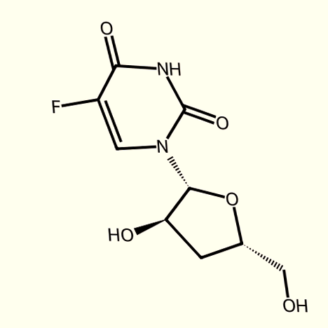 O=c1[nH]c(=O)n([C@@H]2O[C@H](CO)C[C@H]2O)cc1F